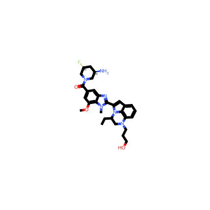 CCC1CN(CCCO)c2cccc3cc(-c4nc5cc(C(=O)N6C[C@H](N)C[C@@H](F)C6)cc(OC)c5n4C)n1c23